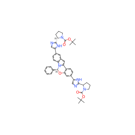 CC(C)(C)OC(=O)N1CCCC1c1ncc(-c2ccc3c(c2)O[C@@H](c2ccccc2)n2c-3cc3cc(-c4cnc([C@@H]5CCCN5C(=O)OC(C)(C)C)[nH]4)ccc32)[nH]1